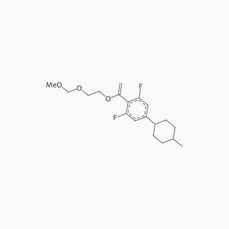 C=C(OCCOCOC)c1c(F)cc(C2CCC(C)CC2)cc1F